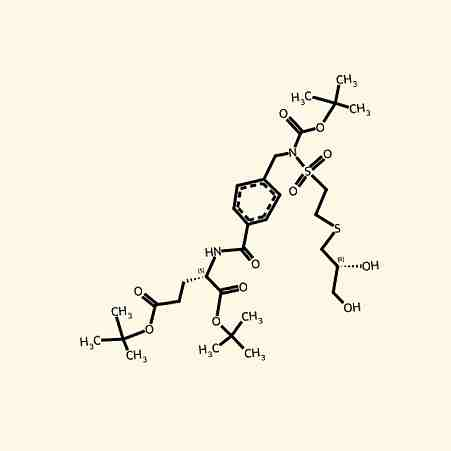 CC(C)(C)OC(=O)CC[C@H](NC(=O)c1ccc(CN(C(=O)OC(C)(C)C)S(=O)(=O)CCSC[C@H](O)CO)cc1)C(=O)OC(C)(C)C